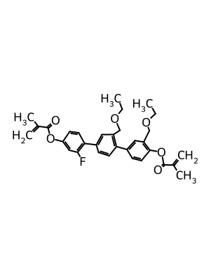 C=C(C)C(=O)Oc1ccc(-c2ccc(-c3ccc(OC(=O)C(=C)C)c(COCC)c3)c(COCC)c2)c(F)c1